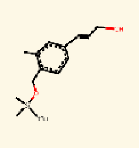 Cc1cc(C=CCO)ccc1CO[Si](C)(C)C(C)(C)C